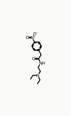 CCN(CC)CCNC(=O)Cc1ccc([N+](=O)[O-])cc1